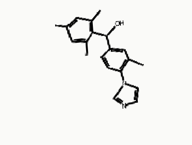 Cc1cc(C)c(C(O)c2ccc(-n3ccnc3)c(C)c2)c(C)c1